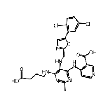 Cc1nc(NCCCC(=O)O)c(NCc2ncc(-c3cc(Cl)ccc3Cl)o2)c(Nc2ccncc2C(=O)O)n1